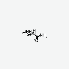 CN[Se]NC(N)=O